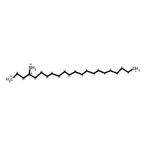 CCCCCCCCCCCCCCCCCCC(N)CCC